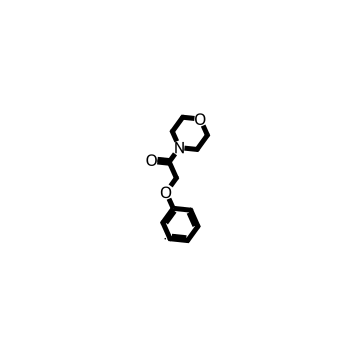 O=C(COc1c[c]ccc1)N1CCOCC1